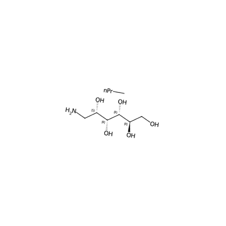 CCCC.NC[C@H](O)[C@@H](O)[C@H](O)[C@H](O)CO